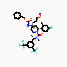 CO/C=C/C[C@]1(NC(=O)OCc2ccccc2)CCN(C(=O)N(C)[C@H](C)c2cc(C(F)(F)F)cc(C(F)(F)F)c2)[C@@H](c2ccc(F)cc2C)C1